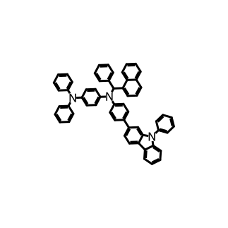 c1ccc(C(c2cccc3ccccc23)N(c2ccc(-c3ccc4c5ccccc5n(-c5ccccc5)c4c3)cc2)c2ccc(N(c3ccccc3)c3ccccc3)cc2)cc1